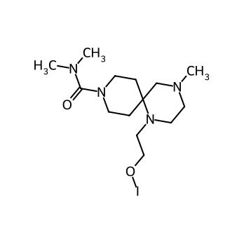 CN1CCN(CCOI)C2(CCN(C(=O)N(C)C)CC2)C1